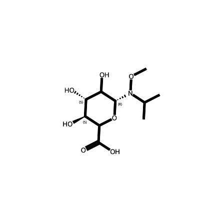 CON(C(C)C)[C@@H]1OC(C(=O)O)[C@@H](O)[C@H](O)C1O